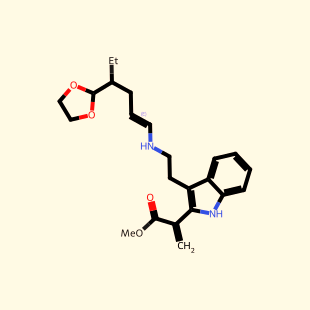 C=C(C(=O)OC)c1[nH]c2ccccc2c1CCN/C=C/CC(CC)C1OCCO1